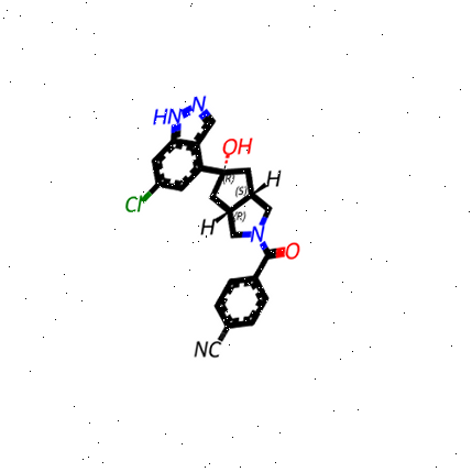 N#Cc1ccc(C(=O)N2C[C@@H]3C[C@@](O)(c4cc(Cl)cc5[nH]ncc45)C[C@@H]3C2)cc1